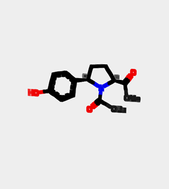 COC(=O)[C@@H]1CC[C@H](c2ccc(O)cc2)N1C(=O)OCC(C)C